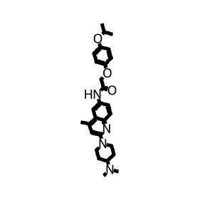 Cc1cc(N2CCC(N(C)C)CC2)nc2ccc(NC(=O)COc3ccc(OC(C)C)cc3)cc12